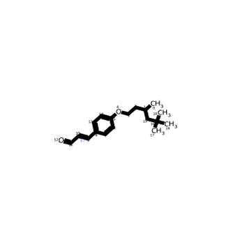 CC(CCOc1ccc(/C=C/C=O)cc1)CC(C)(C)C